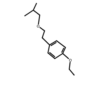 CCOc1ccc(CCOCC(C)C)cc1